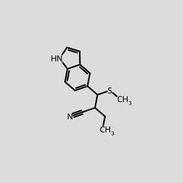 CCC(C#N)C(SC)c1ccc2[nH]ccc2c1